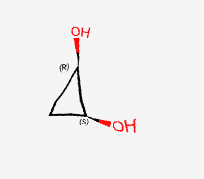 O[C@@H]1C[C@@H]1O